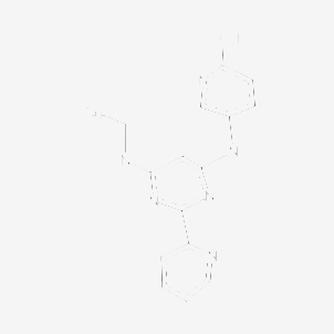 Cc1ccc(Nc2cc(NCC(C)(C)C)nc(-c3ccccn3)n2)cn1